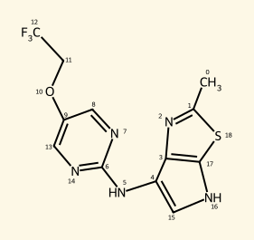 Cc1nc2c(Nc3ncc(OCC(F)(F)F)cn3)c[nH]c2s1